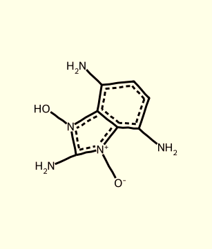 Nc1ccc(N)c2c1n(O)c(N)[n+]2[O-]